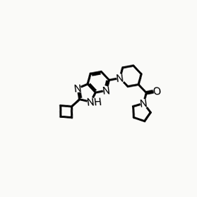 O=C(C1CCCN(c2ccc3nc(C4CCC4)[nH]c3n2)C1)N1CCCC1